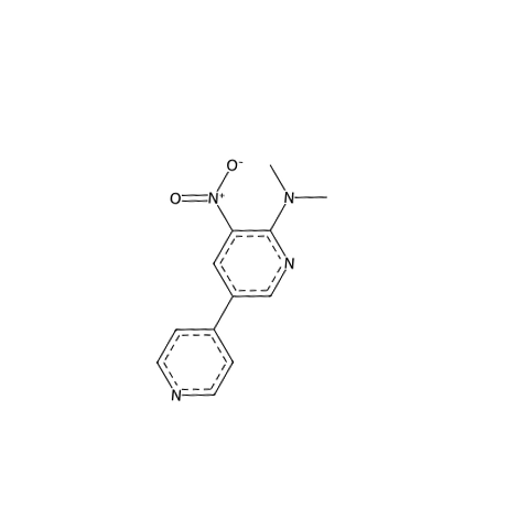 CN(C)c1ncc(-c2ccncc2)cc1[N+](=O)[O-]